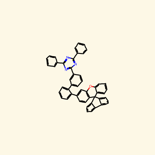 c1ccc(-c2nc(-c3ccccc3)nc(-c3cccc(-c4ccccc4-c4ccc5c(c4)Oc4ccccc4C54c5ccccc5-c5ccccc54)c3)n2)cc1